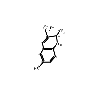 CCOC(=O)C1=Cc2cc(S)ccc2OC1C(F)(F)F